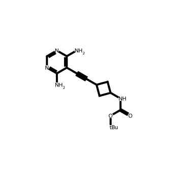 CC(C)(C)OC(=O)NC1CC(C#Cc2c(N)ncnc2N)C1